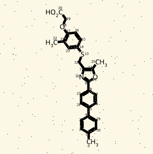 Cc1ccc(-c2ccc(-c3nc(CSc4ccc(OCC(=O)O)c(C)c4)c(C)o3)cc2)cc1